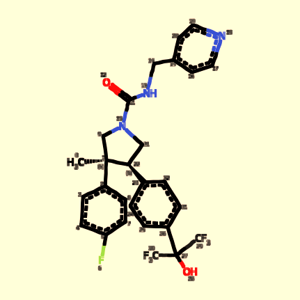 C[C@]1(c2ccc(F)cc2)CN(C(=O)NCc2ccncc2)C[C@H]1c1ccc(C(O)(C(F)(F)F)C(F)(F)F)cc1